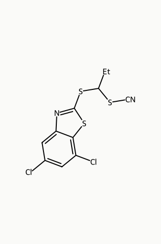 CCC(SC#N)Sc1nc2cc(Cl)cc(Cl)c2s1